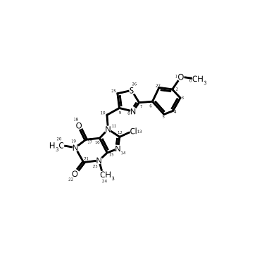 COc1cccc(-c2nc(Cn3c(Cl)nc4c3c(=O)n(C)c(=O)n4C)cs2)c1